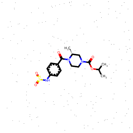 CC(C)OC(=O)N1CCN(C(=O)c2ccc(N[SH](=O)=O)cc2)[C@H](C)C1